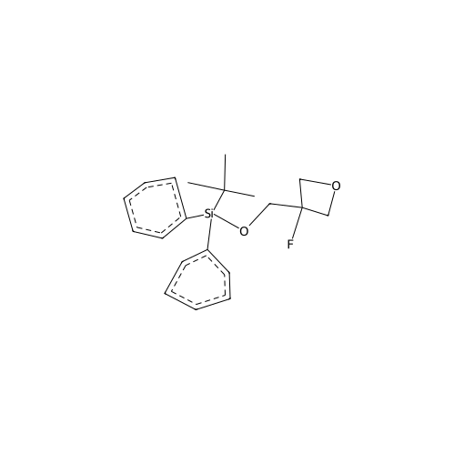 CC(C)(C)[Si](OCC1(F)COC1)(c1ccccc1)c1ccccc1